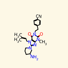 CC(C)=CCn1c(N2CCCC(N)C2)nc2c1c(=O)n(CCc1ccc(C#N)cc1)c(=O)n2C